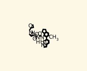 Cc1cc2c(c(NC(=O)NS(=O)(=O)c3ccn(CC4CCO4)n3)c1-c1ccc3ccnn3c1)CCC2